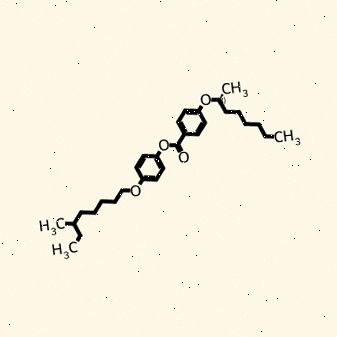 CCCCCC[C@@H](C)Oc1ccc(C(=O)Oc2ccc(OCCCCCC(C)CC)cc2)cc1